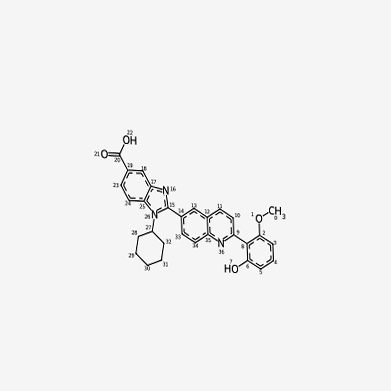 COc1cccc(O)c1-c1ccc2cc(-c3nc4cc(C(=O)O)ccc4n3C3CCCCC3)ccc2n1